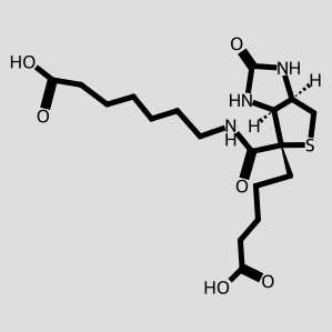 O=C(O)CCCCCCNC(=O)[C@@]1(CCCCC(=O)O)SC[C@@H]2NC(=O)N[C@@H]21